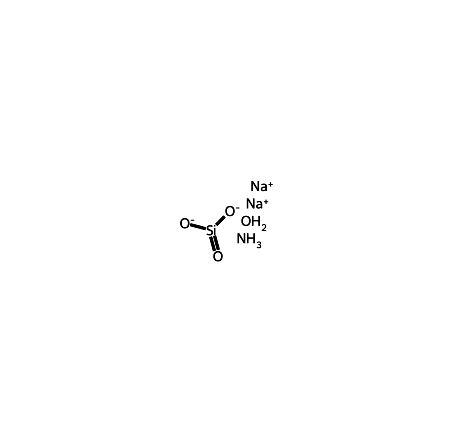 N.O.O=[Si]([O-])[O-].[Na+].[Na+]